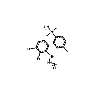 CCc1cccc(NN)c1CC.Cc1ccc([N+](C)(C)N)cc1.Cl.[Cl-]